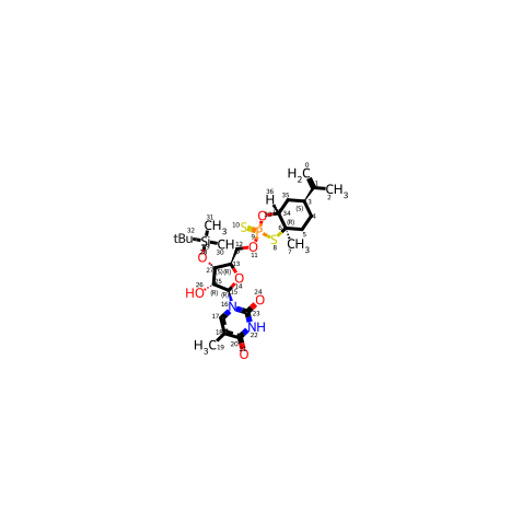 C=C(C)[C@H]1CC[C@@]2(C)SP(=S)(OC[C@H]3O[C@@H](n4cc(C)c(=O)[nH]c4=O)[C@H](O)[C@@H]3O[Si](C)(C)C(C)(C)C)O[C@@H]2C1